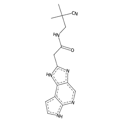 CC(C)(C#N)CNC(=O)Cc1nc2cnc3[nH]ccc3c2[nH]1